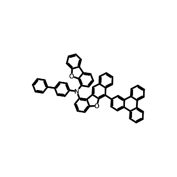 c1ccc(-c2ccc(N(c3cccc4c3oc3ccccc34)c3cccc4oc5c(-c6ccc7c8ccccc8c8ccccc8c7c6)c6ccccc6cc5c34)cc2)cc1